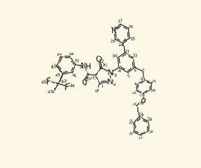 CC1=NN(c2cc(Cc3ccc(OCc4ccccc4)cc3)cc(-c3cccnc3)c2)C(=O)C1C(=O)Nc1cccc(C(C)(F)F)c1